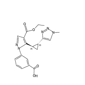 CCOC(=O)c1cnn(-c2cccc(C(=O)O)c2)c1[C@@H]1C[C@H]1c1cn(C)nn1